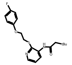 CC(C)(C)CC(=O)Nc1cccnc1SCCOc1ccc(F)cc1